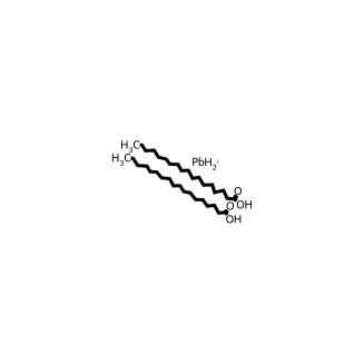 CCCCCCCCCCCCCCCCCC(=O)O.CCCCCCCCCCCCCCCCCC(=O)O.[PbH2]